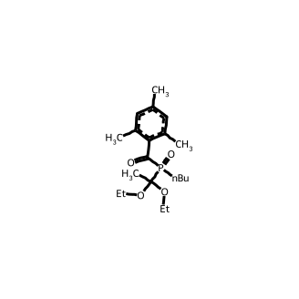 CCCCP(=O)(C(=O)c1c(C)cc(C)cc1C)C(C)(OCC)OCC